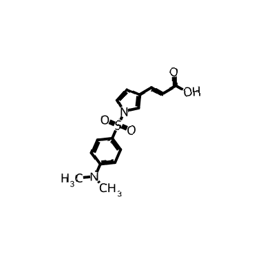 CN(C)c1ccc(S(=O)(=O)n2ccc(C=CC(=O)O)c2)cc1